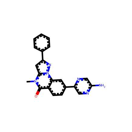 Cn1c(=O)c2ccc(-c3cnc(N)cn3)cc2n2nc(-c3ccccc3)cc12